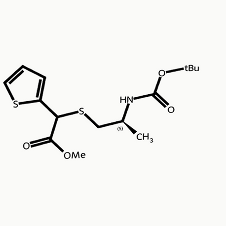 COC(=O)C(SC[C@H](C)NC(=O)OC(C)(C)C)c1cccs1